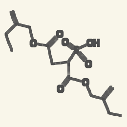 C=C(CC)COC(=O)CC(C(=O)OCC(=C)CC)S(=O)(=O)O